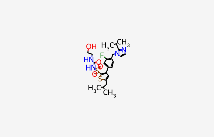 CC(C)Cc1cc(-c2ccc(Cn3ccnc3C(C)C)c(F)c2)c(S(=O)(=O)NC(=O)NCCO)s1